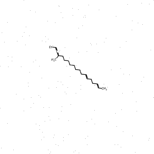 CC=CCCC=CCCCCCCCCC(C)=C=CCC